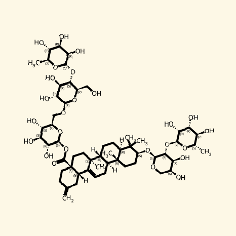 C=C1CC[C@]2(C(=O)O[C@@H]3O[C@H](CO[C@@H]4O[C@H](CO)[C@@H](O[C@@H]5O[C@@H](C)[C@H](O)[C@@H](O)[C@H]5O)[C@H](O)[C@H]4O)[C@@H](O)[C@H](O)[C@H]3O)CC[C@]3(C)C(=CC[C@H]4[C@H]3CC[C@H]3C(C)(C)[C@@H](O[C@@H]5OC[C@H](O)[C@H](O)[C@H]5O[C@@H]5O[C@@H](C)[C@H](O)[C@@H](O)[C@H]5O)CC[C@]43C)[C@@H]2C1